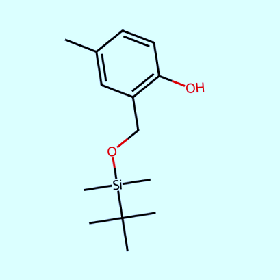 Cc1ccc(O)c(CO[Si](C)(C)C(C)(C)C)c1